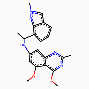 COc1cc(NC(C)c2cccc3cn(C)nc23)cc2nc(C)nc(OC)c12